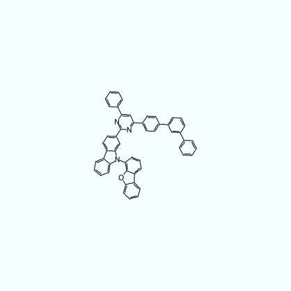 c1ccc(-c2cccc(-c3ccc(-c4cc(-c5ccccc5)nc(-c5ccc6c7ccccc7n(-c7cccc8c7oc7ccccc78)c6c5)n4)cc3)c2)cc1